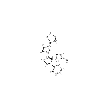 CN1CCCC1c1cn(N2CN=C3c4ccccc4-n4c(cnc4Cl)N32)nn1